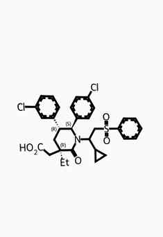 CC[C@]1(CC(=O)O)C[C@H](c2cccc(Cl)c2)[C@@H](c2ccc(Cl)cc2)N(C(CS(=O)(=O)c2ccccc2)C2CC2)C1=O